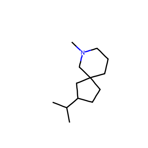 CC(C)C1CCC2(CCCN(C)C2)C1